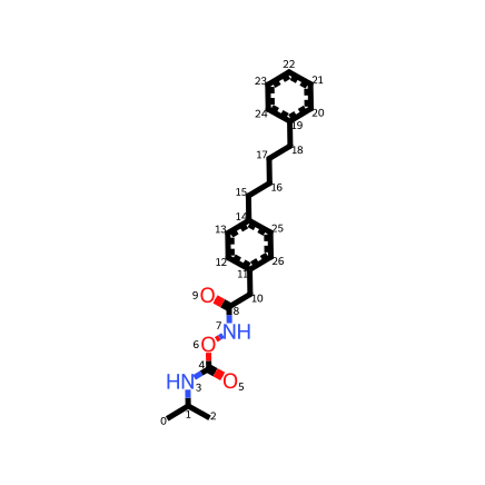 CC(C)NC(=O)ONC(=O)Cc1ccc(CCCCc2ccccc2)cc1